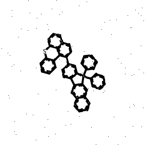 c1ccc(C2(c3ccccc3)c3cc(-c4ccc5cccc6c5c4-c4ccccc4S6)ccc3-c3cc4ccccc4cc32)cc1